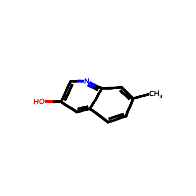 Cc1ccc2cc(O)cnc2c1